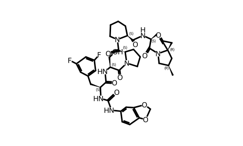 C[C@H]1CN(C(=O)[C@H](C)NC(=O)[C@@H]2CCCCN2C(=O)[C@@H]2CCCN2C(=O)[C@H](CO)NC(=O)[C@H](Cc2cc(F)cc(F)c2)NC(=O)Nc2ccc3c(c2)OCO3)[C@@]2(CC2=O)C1